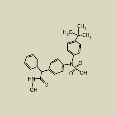 CC(C)(C)c1ccc(N(c2ccc(C(C(=O)NO)c3ccccc3)cc2)S(=O)(=O)O)cc1